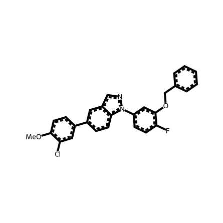 COc1ccc(-c2ccc3c(cnn3-c3ccc(F)c(OCc4ccccc4)c3)c2)cc1Cl